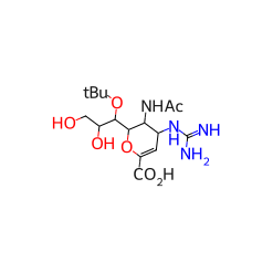 CC(=O)NC1C(NC(=N)N)C=C(C(=O)O)OC1C(OC(C)(C)C)C(O)CO